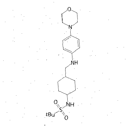 CC(C)(C)S(=O)(=O)NC1CCC(CNc2ccc(N3CCOCC3)cc2)CC1